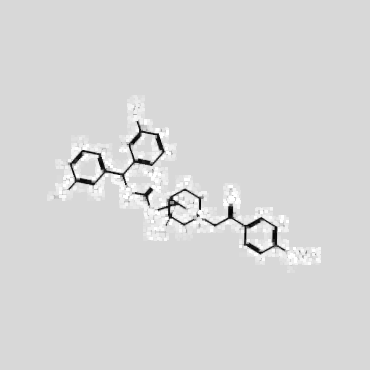 COc1ccc(C(=O)C[N+]23CCC(CC2)[C@@H](OC(=O)OC(c2cccc(F)c2)c2cccc(F)c2)C3)cc1